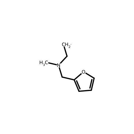 [CH2]CN(C)Cc1ccco1